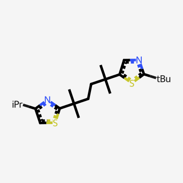 CC(C)c1csc(C(C)(C)CCC(C)(C)c2cnc(C(C)(C)C)s2)n1